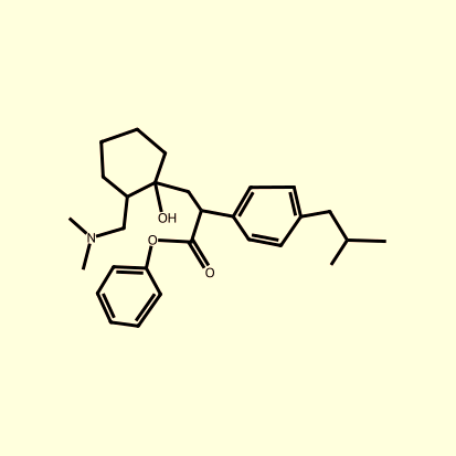 CC(C)Cc1ccc(C(CC2(O)CCCCC2CN(C)C)C(=O)Oc2ccccc2)cc1